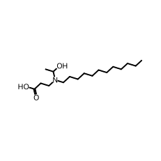 CCCCCCCCCCCCN(CCC(=O)O)C(C)O